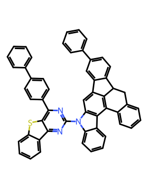 c1ccc(-c2ccc(-c3nc(-n4c5ccccc5c5c6c7c(cc54)-c4cc(-c5ccccc5)ccc4C7Cc4ccccc4-6)nc4c3sc3ccccc34)cc2)cc1